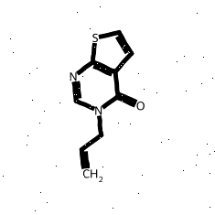 C=CCn1cnc2sccc2c1=O